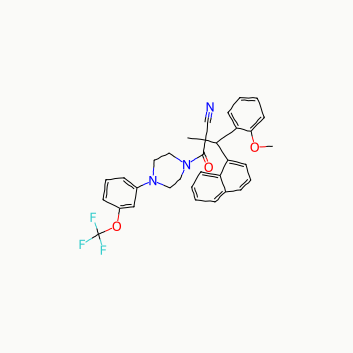 COc1ccccc1C(c1cccc2ccccc12)C(C)(C#N)C(=O)N1CCN(c2cccc(OC(F)(F)F)c2)CC1